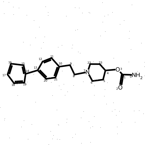 NC(=O)OC1CCN(CCc2ccc(-c3ccccc3)cc2)CC1